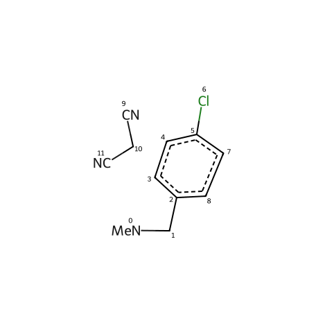 CNCc1ccc(Cl)cc1.N#CCC#N